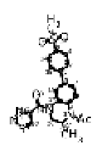 CC(=O)N1c2ccc(-c3ccc(S(C)(=O)=O)cc3)cc2N(C(=O)c2csnn2)CC1C